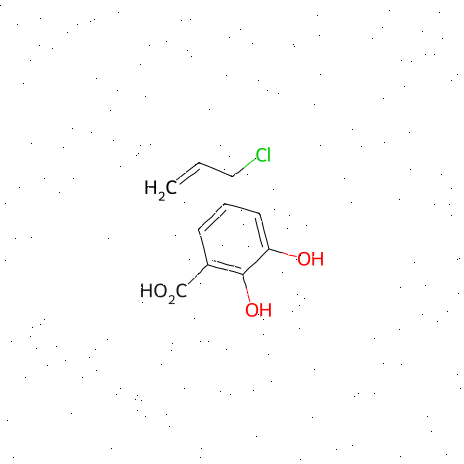 C=CCCl.O=C(O)c1cccc(O)c1O